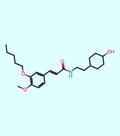 CCCCCOc1cc(/C=C/C(=O)NCCC2CCC(O)CC2)ccc1OC